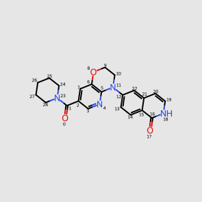 O=C(c1cnc2c(c1)OCCN2c1ccc2c(=O)[nH]ccc2c1)N1CCCCC1